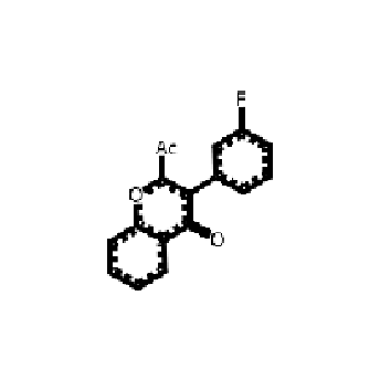 CC(=O)c1oc2ccccc2c(=O)c1-c1cccc(F)c1